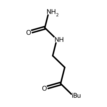 CCC(C)C(=O)CCNC(N)=O